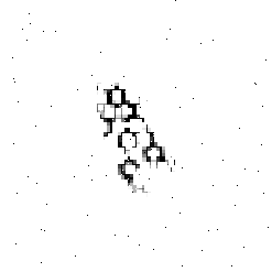 CCC1COc2c(F)c(F)cc3c(=O)c(CN(Cc4ccnc(OC)c4)[C@H]4CCCN(c5ccc(N)nc5)C4)cn1c23